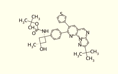 CC(C)(C)OC(=O)N[C@]1(c2ccc(-c3nc4c(cnc5cc(C(C)(C)C)nn54)cc3-c3ccsc3)cc2)C[C@@](C)(O)C1